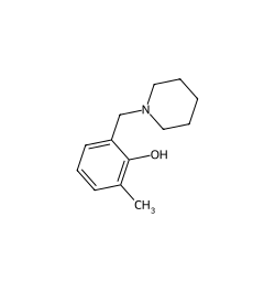 Cc1cccc(CN2CCCCC2)c1O